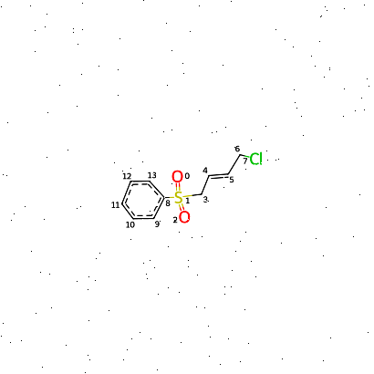 O=S(=O)(CC=CCCl)c1ccccc1